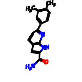 Cc1ccc(-c2ccc3cc(C(N)=O)[nH]c3n2)cc1C